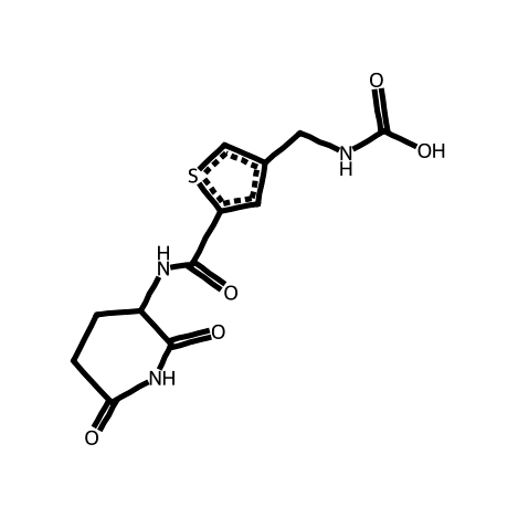 O=C(O)NCc1csc(C(=O)NC2CCC(=O)NC2=O)c1